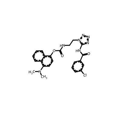 CN(C)c1ccc(OC(=O)NCCn2nnnc2NC(=O)c2cccc(Cl)c2)c2ccccc12